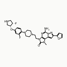 Cn1c(=O)n(CCN2CCN(c3ccc(O[C@@H]4CNC[C@@H]4F)cc3F)CC2)c2nc(N)n3nc(-c4ccco4)cc3c21